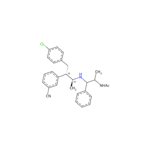 CC(=O)NC(C)C(N[C@@H](C)[C@@H](Cc1ccc(Cl)cc1)c1cccc(C#N)c1)c1ccccc1